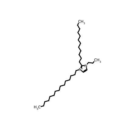 CCCCCCCCCCCCCCC[n+]1ccn(CCC)c1CCCCCCCCCCCC